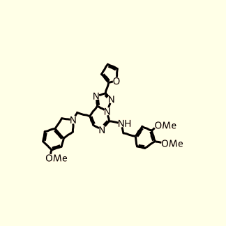 COc1ccc2c(c1)CN(Cc1cnc(NCc3ccc(OC)c(OC)c3)n3nc(-c4ccco4)nc13)C2